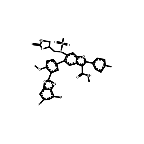 CNC(=O)c1c(-c2ccc(F)cc2)oc2cc(N(CC3CNC(=O)O3)S(C)(=O)=O)c(-c3ccc(OC)c(-c4nc5c(F)cc(F)cc5o4)c3)cc12